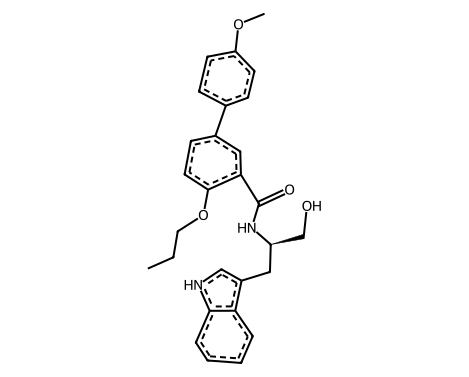 CCCOc1ccc(-c2ccc(OC)cc2)cc1C(=O)N[C@@H](CO)Cc1c[nH]c2ccccc12